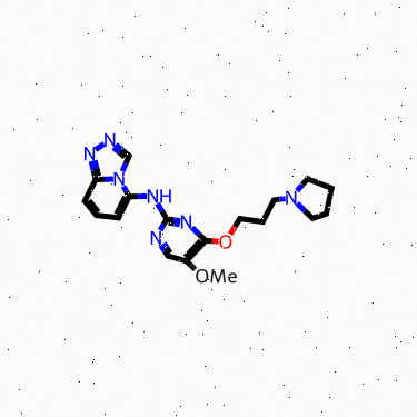 COc1cnc(Nc2cccc3nncn23)nc1OCCCN1CCCC1